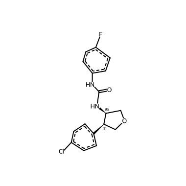 O=C(Nc1ccc(F)cc1)N[C@H]1COC[C@H]1c1ccc(Cl)cc1